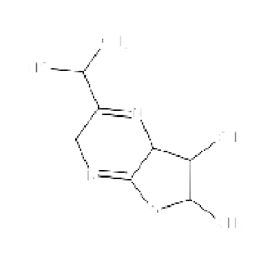 CC(O)C1=NC2C(=NC1)OC(C)C2C